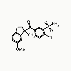 COc1ccc2c(c1)C(C)(C(=O)c1ccc(Cl)c(S(N)(=O)=O)c1)CS2